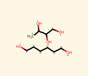 CC(O)C(O)CO.OCCCCCCO